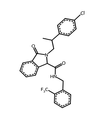 CC(CN1C(=O)c2ccccc2C1C(=O)NCc1ccccc1C(F)(F)F)c1ccc(Cl)cc1